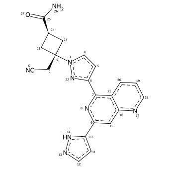 N#CC[C@]1(n2ccc(-c3nc(-c4ccn[nH]4)cc4ncccc34)n2)C[C@H](C(N)=O)C1